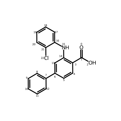 O=C(O)c1ccc(-c2ccccc2)cc1Nc1ccccc1Cl